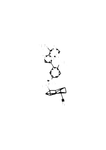 Cc1ccc(S(=O)(=O)NC23C4C5C6C7C2C63C4C57C#N)cc1-c1cnc2c(N)ncnn12